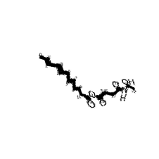 CCCCCCCCCCCC(=O)OC(=O)CCC(=O)NC(C)O